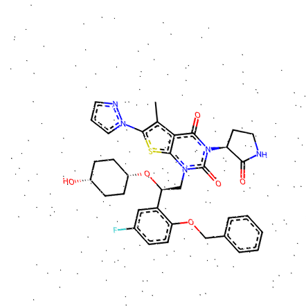 Cc1c(-n2cccn2)sc2c1c(=O)n([C@H]1CCNC1=O)c(=O)n2C[C@H](O[C@H]1CC[C@@H](O)CC1)c1cc(F)ccc1OCc1ccccc1